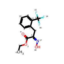 CCOC(=O)/C(Cc1ccccc1C(F)(F)F)=N\O